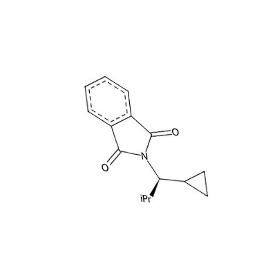 CC(C)[C@H](C1CC1)N1C(=O)c2ccccc2C1=O